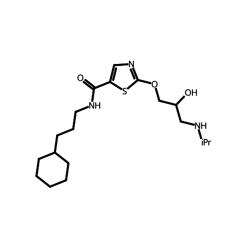 CC(C)NCC(O)COc1ncc(C(=O)NCCCC2CCCCC2)s1